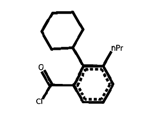 CCCc1cccc(C(=O)Cl)c1C1CCCCC1